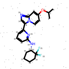 CC(C)Oc1ccn2c(-c3cccc(N[C@H]4CCCCC4(F)F)n3)cnc2c1